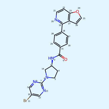 O=C(N[C@H]1CCN(c2ncc(Br)cn2)C1)c1ccc(-c2nccc3occc23)cc1